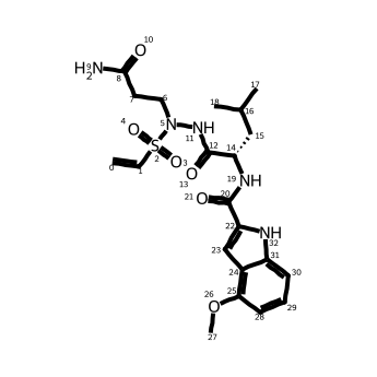 C=CS(=O)(=O)N(CCC(N)=O)NC(=O)[C@H](CC(C)C)NC(=O)c1cc2c(OC)cccc2[nH]1